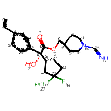 C=Cc1ccc([C@@](O)(C(=O)OCC2CCN(C=N)CC2)[C@@H]2CCC(F)(F)C2)cc1.Cl